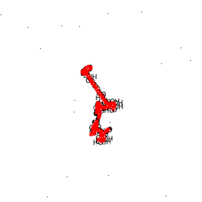 C=C1CC2C(O)N(C(=O)OCc3ccc(O[C@@H]4O[C@H](C(=O)O)[C@@H](O)[C@H](O)[C@H]4O)c(C(=O)NCCOC)c3)c3cc(OCCCCCOc4cc5c(cc4OC)C(=O)N4CC(=C)C[C@H]4C(O)N5C(=O)OCc4ccc(O[C@@H]5O[C@H](C(=O)O)[C@@H](O)[C@H](O)[C@H]5O)c(C(=O)NCCCNC(=O)CCOCCOCCOCCOCCC(=O)NCCC(=O)N5Cc6ccccc6/C=C\c6ccccc65)c4)c(OC)cc3C(=O)N2C1